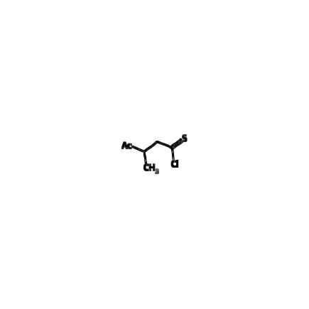 CC(=O)C(C)CC(=S)Cl